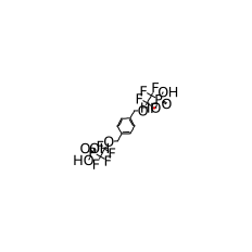 O=P(O)(O)C(F)(F)C(F)(F)OCc1ccc(COC(F)(F)C(F)(F)P(=O)(O)O)cc1